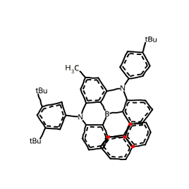 Cc1cc2c3c(c1)N(c1cc(C(C)(C)C)cc(C(C)(C)C)c1)c1cccc(-c4ccccc4)c1B3c1c(-c3ccccc3)cccc1N2c1ccc(C(C)(C)C)cc1